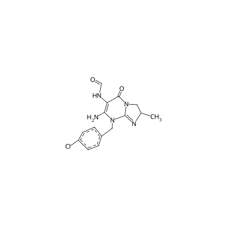 CC1CN2C(=O)C(NC=O)=C(N)N(Cc3ccc(Cl)cc3)C2=N1